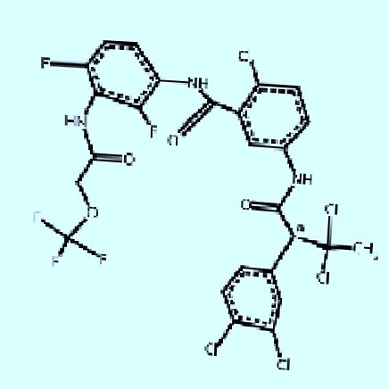 CC(Cl)(Cl)[C@H](C(=O)Nc1ccc(Cl)c(C(=O)Nc2ccc(F)c(NC(=O)COC(F)(F)F)c2F)c1)c1ccc(Cl)c(Cl)c1